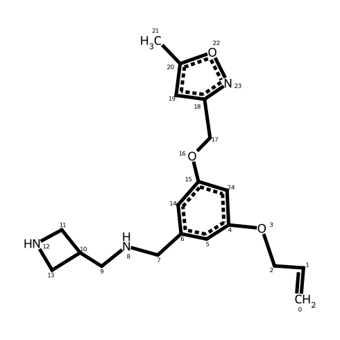 C=CCOc1cc(CNCC2CNC2)cc(OCc2cc(C)on2)c1